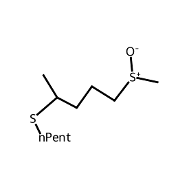 CCCCCSC(C)CCC[S+](C)[O-]